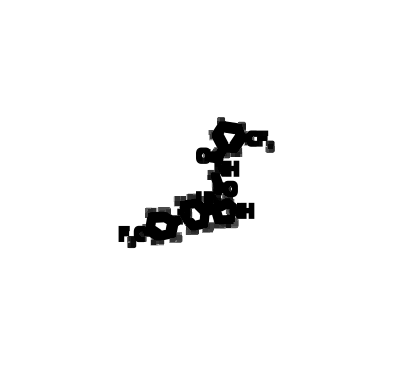 O=C(CNC(=O)c1cccc(C(F)(F)F)c1)N[C@@]1(C2CCN(c3ccc(C(F)(F)F)cc3)CC2)CCNC1